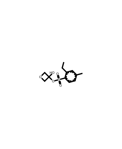 CCc1cc(C)ccc1S(=O)(=O)OC1(O)COC1